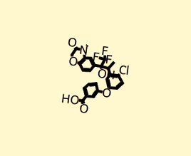 CC(c1cc(Oc2cccc(C(=O)O)c2)ccc1Cl)C(O)(c1ccc2c(c1)N(C)C(=O)CO2)C(F)(F)F